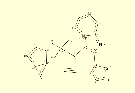 C#Cc1ccsc1-c1nc2cnccn2c1NC(C)(C)C.c1cc2cc-2c1